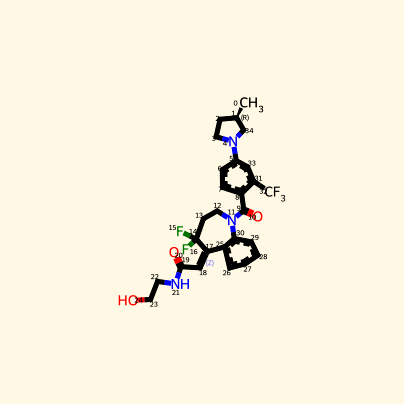 C[C@@H]1CCN(c2ccc(C(=O)N3CCC(F)(F)/C(=C\C(=O)NCCO)c4ccccc43)c(C(F)(F)F)c2)C1